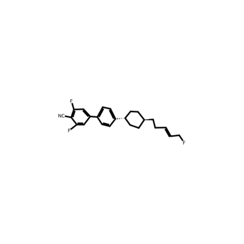 N#Cc1c(F)cc(-c2ccc([C@H]3CC[C@H](CC/C=C/CF)CC3)cc2)cc1F